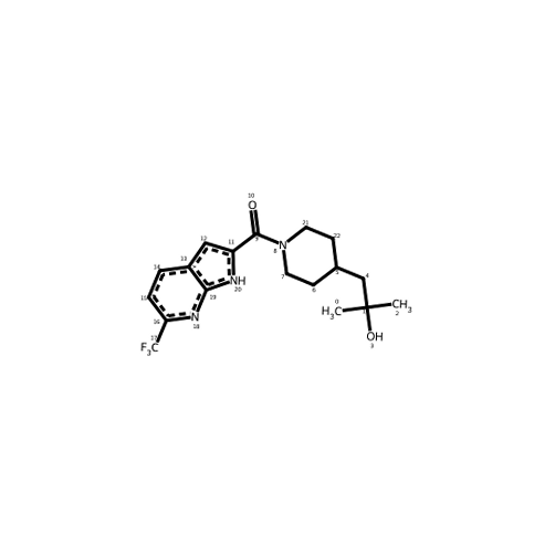 CC(C)(O)CC1CCN(C(=O)c2cc3ccc(C(F)(F)F)nc3[nH]2)CC1